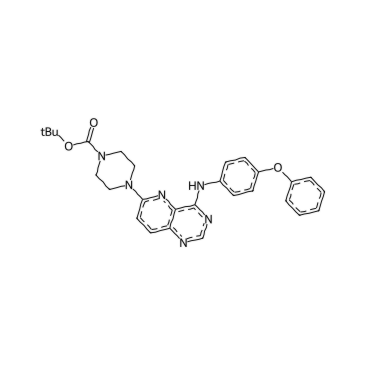 CC(C)(C)OC(=O)N1CCN(c2ccc3ncnc(Nc4ccc(Oc5ccccc5)cc4)c3n2)CC1